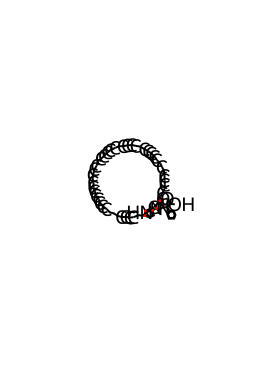 O=C(O)C(c1ccccc1)N1CN(c2ccccc2)C2(CCCCCCCCCCCCCCCCCCCCCCCCCCCCCCCCCCCCCCCCCCCCCCCCNCC2)C1=O